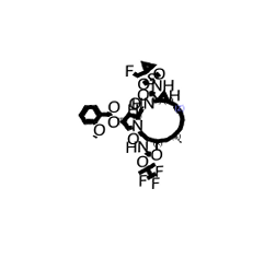 COc1ccccc1C(=O)O[C@@H]1C[C@H]2C(=O)N[C@]3(C(=O)NS(=O)(=O)C4(CF)CC4)C[C@@H]3/C=C\CC[C@H](C)C[C@@H](C)C(NC(=O)OC(C)(C)C(F)(F)F)C(=O)N2C1